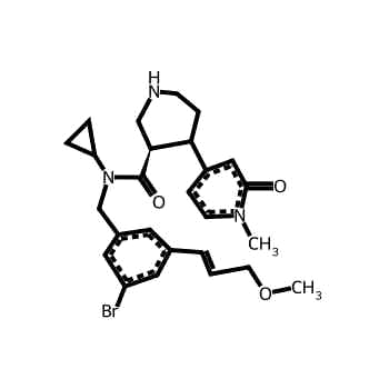 COC/C=C/c1cc(Br)cc(CN(C(=O)[C@H]2CNCCC2c2ccn(C)c(=O)c2)C2CC2)c1